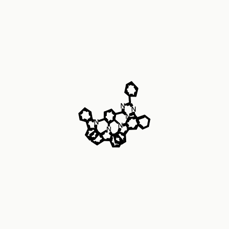 C1=CC(c2nc(-c3ccccc3)nc(-c3ccc(-n4c5ccccc5c5ccccc54)c(-n4c5ccccc5c5ccccc54)c3-n3c4ccccc4c4ccccc43)n2)=CCC1